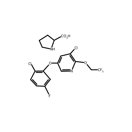 Fc1ccc(Cl)c(Oc2cnc(OCC(F)(F)F)c(Cl)c2)c1.O=C(O)C1CCCN1